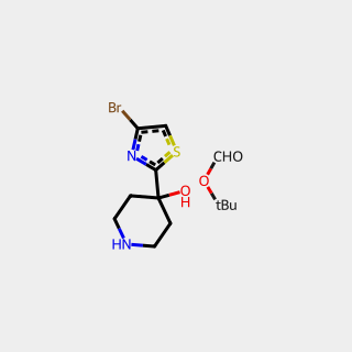 CC(C)(C)OC=O.OC1(c2nc(Br)cs2)CCNCC1